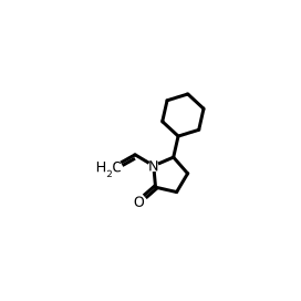 C=CN1C(=O)CCC1C1CCCCC1